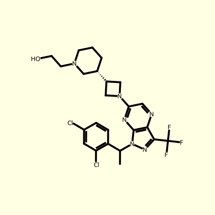 CC(c1ccc(Cl)cc1Cl)n1nc(C(F)(F)F)c2ncc(N3CC([C@H]4CCCN(CCO)C4)C3)nc21